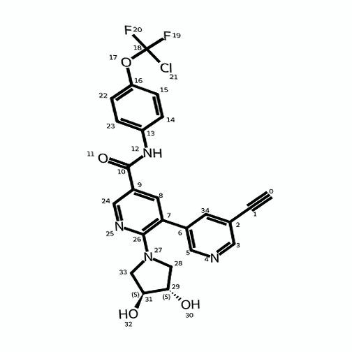 C#Cc1cncc(-c2cc(C(=O)Nc3ccc(OC(F)(F)Cl)cc3)cnc2N2C[C@H](O)[C@@H](O)C2)c1